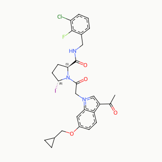 CC(=O)c1cn(CC(=O)N2[C@H](I)CC[C@H]2C(=O)NCc2cccc(Cl)c2F)c2cc(OCC3CC3)ccc12